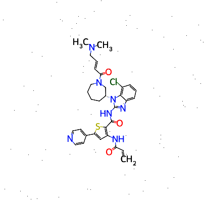 C=CC(=O)Nc1cc(-c2ccncc2)sc1C(=O)Nc1nc2cccc(Cl)c2n1[C@@H]1CCCCN(C(=O)/C=C/CN(C)C)C1